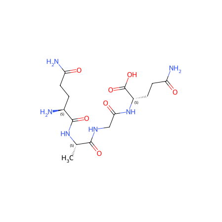 C[C@H](NC(=O)[C@@H](N)CCC(N)=O)C(=O)NCC(=O)N[C@@H](CCC(N)=O)C(=O)O